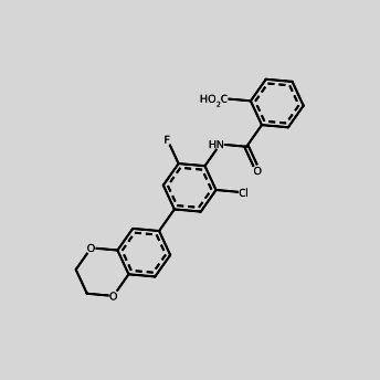 O=C(O)c1ccccc1C(=O)Nc1c(F)cc(-c2ccc3c(c2)OCCO3)cc1Cl